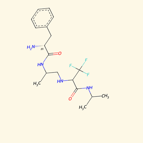 CC(C)NC(=O)C(NCC(C)NC(=O)[C@H](N)Cc1ccccc1)C(F)(F)F